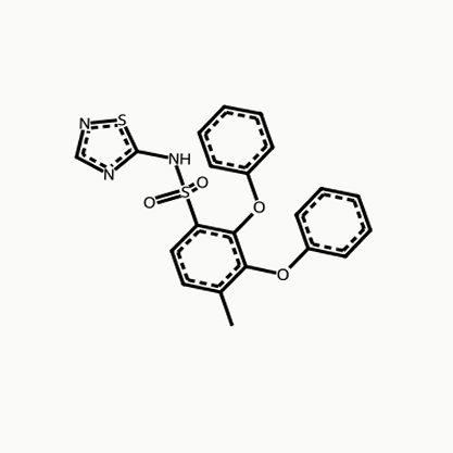 Cc1ccc(S(=O)(=O)Nc2ncns2)c(Oc2ccccc2)c1Oc1ccccc1